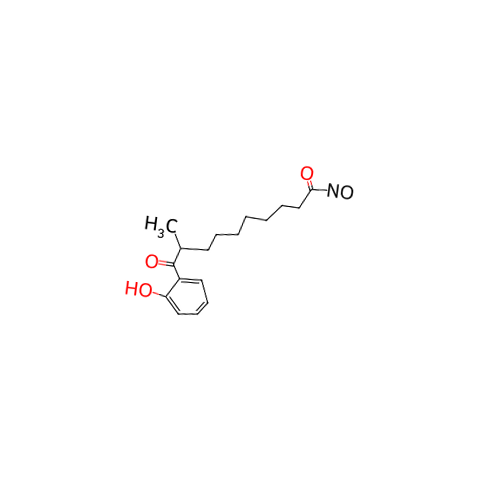 CC(CCCCCCCC(=O)N=O)C(=O)c1ccccc1O